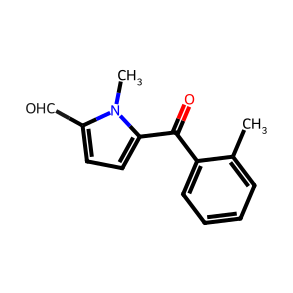 Cc1ccccc1C(=O)c1ccc(C=O)n1C